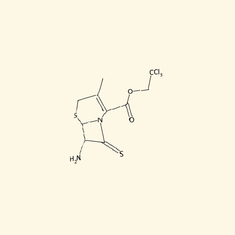 CC1=C(C(=O)OCC(Cl)(Cl)Cl)N2C(=S)C(N)C2SC1